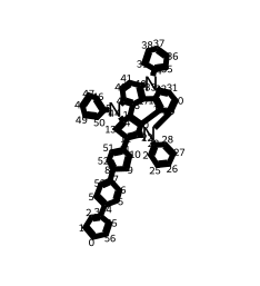 c1ccc(-c2ccc(-c3ccc(-c4cc5c6c7c8c9c%10c6c4n(-c4ccccc4)c%10ccc9n(-c4ccccc4)c8ccc7n5-c4ccccc4)cc3)cc2)cc1